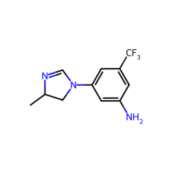 CC1CN(c2cc(N)cc(C(F)(F)F)c2)C=N1